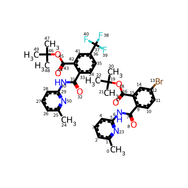 Cc1cccc(NC(=O)c2ccc(Br)cc2C(=O)OC(C)(C)C)n1.Cc1cccc(NC(=O)c2ccc(C(F)(F)F)cc2C(=O)OC(C)(C)C)n1